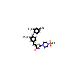 CCS(=O)(=O)N1CCN(C2=NC(=O)C(=Cc3ccc(Oc4ccc(C#N)cc4C(F)(F)F)c(OC)c3)S2)CC1